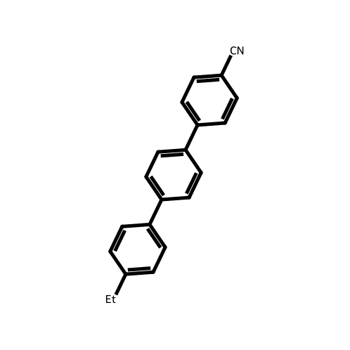 CCc1ccc(-c2ccc(-c3ccc(C#N)cc3)cc2)cc1